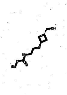 CC(C)(C)OC(=O)NCCO[C@H]1C[C@H](CO)C1